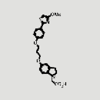 COc1csc(-c2ccc(OCCCOc3ccc4c(c3)CC[C@H]4CC(=O)O)cc2)n1